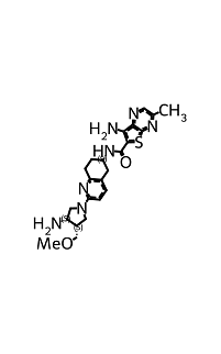 COC[C@H]1CN(c2ccc3c(n2)CC[C@H](NC(=O)c2sc4nc(C)cnc4c2N)C3)C[C@H]1N